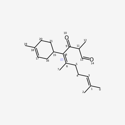 CC(C)=CCC/C(C)=C(\C(=O)C(C)C=O)C1CC=C(C)CC1